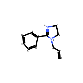 C=C[CH]N1CCN=C1c1ccccc1